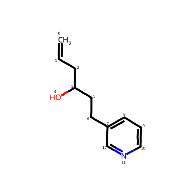 C=CCC(O)CCc1cccnc1